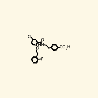 O=C(O)c1ccc(CCNC(=O)c2cc(Cl)ccc2OCCc2ccccc2F)cc1